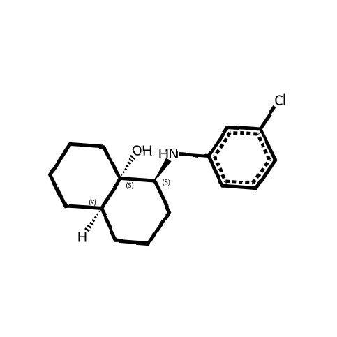 O[C@@]12CCCC[C@@H]1CCC[C@@H]2Nc1cccc(Cl)c1